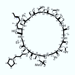 C/C=C/C[C@@H](C)[C@@H](O)[C@H]1C(=O)N[C@@H](CC)C(=O)N(C)[C@H](SCCCN2CCCC2)C(=O)N(C)[C@@H](CC(C)(C)OC)C(=O)N[C@@H](C(C)C)C(=O)N(C)[C@@H](CC(C)C)C(=O)N[C@@H](C)C(=O)N[C@H](C)C(=O)N(C)[C@@H](CC(C)C)C(=O)N(C)[C@@H](CC(C)C)C(=O)N(C)[C@@H](C(C)C)C(=O)N1C